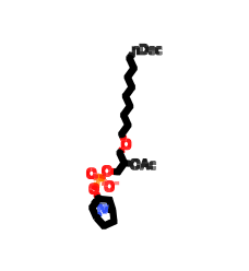 CCCCCCCCCCCCCCCCCCCOCC(COP(=O)([O-])OC1CC2CCC(C1)[N+]2(C)C)OC(C)=O